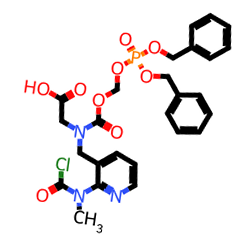 CN(C(=O)Cl)c1ncccc1CN(CC(=O)O)C(=O)OCOP(=O)(OCc1ccccc1)OCc1ccccc1